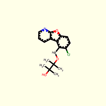 CC(C)(O)C(C)(C)OBc1c(Cl)ccc2oc3ncccc3c12